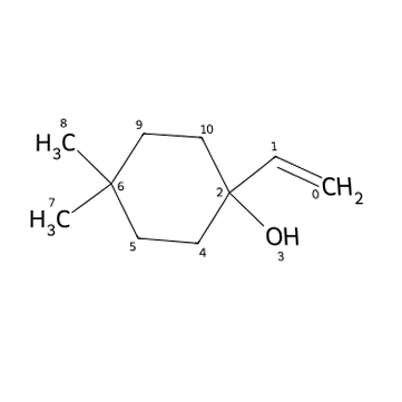 C=CC1(O)CCC(C)(C)CC1